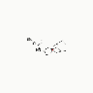 CC(C)(C)OC(=O)N[C@H]1CCN(C2C3CCCC2CCC3)C1